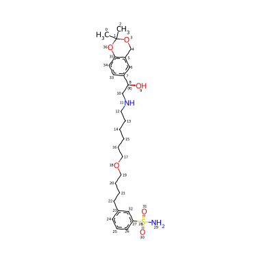 CC1(C)OCc2cc([C@@H](O)CNCCCCCCOCCCCc3cccc(S(N)(=O)=O)c3)ccc2O1